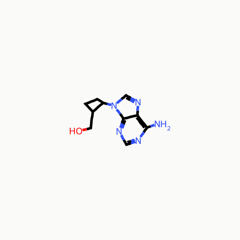 Nc1ncnc2c1ncn2C1CCC1CO